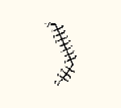 C=CC(F)(F)C(F)(F)C(F)(F)C(F)(F)C(F)(F)C(F)(F)C(F)(F)CC(F)(F)C(F)(F)C(F)(F)C(F)(F)F